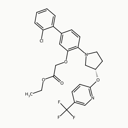 CCOC(=O)COc1cc(-c2ccccc2Cl)ccc1N1CC[C@H](Oc2ccc(C(F)(F)F)cn2)C1